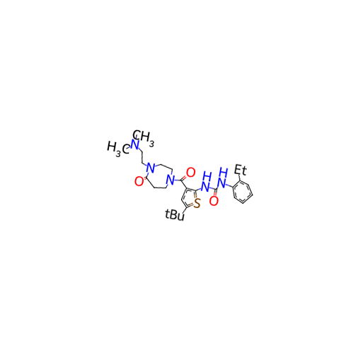 CCc1ccccc1NC(=O)Nc1sc(C(C)(C)C)cc1C(=O)N1CCC(=O)N(CCN(C)C)CC1